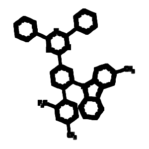 Cc1ccc2c(c1)c1ccccc1n2-c1cc(-c2nc(-c3ccccc3)nc(-c3ccccc3)n2)ccc1-c1ccc(C(F)(F)F)cc1C(F)(F)F